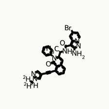 [2H]C([2H])([2H])n1cc(C#Cc2cccc3cc([C@H](C)NC(=O)c4c(N)nn5ccc(Br)cc45)n(-c4ccccc4)c(=O)c23)cn1